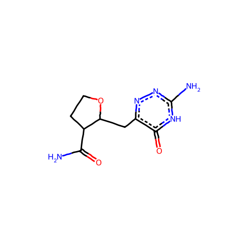 NC(=O)C1CCOC1Cc1nnc(N)[nH]c1=O